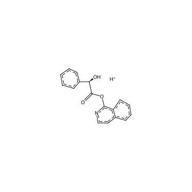 O=C(Oc1nccc2ccccc12)[C@H](O)c1ccccc1.[H+]